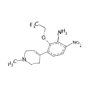 CN1CC=C(c2ccc([N+](=O)[O-])c(N)c2OCC(F)(F)F)CC1